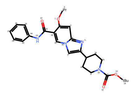 CC(C)Oc1cc2nc(C3CCN(C(=O)OC(C)(C)C)CC3)cn2cc1C(=O)Nc1ccccc1